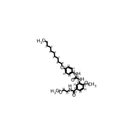 CCCCCCCCCCOc1ccc(NC(=O)Nc2cc(C(=O)NCCOC)ccc2OC)cc1